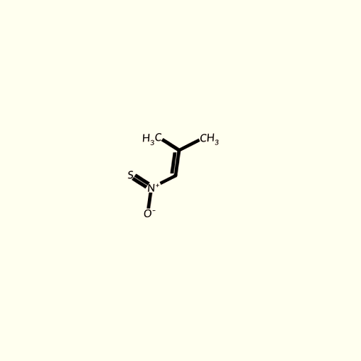 CC(C)=C[N+]([O-])=S